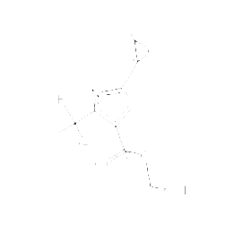 CCOC(=O)c1sc(C2CO2)nc1C(F)(F)F